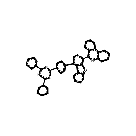 c1ccc(-c2nc(-c3ccccc3)nc(-c3ccc(-c4cnc(-c5nc6ccccc6c6ccccc56)c5oc6ccccc6c45)cc3)n2)cc1